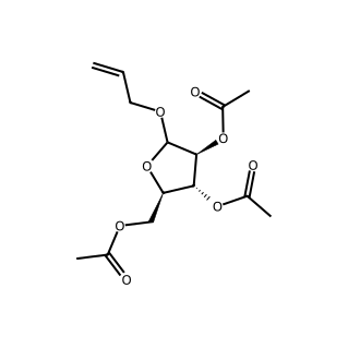 C=CCOC1O[C@H](COC(C)=O)[C@@H](OC(C)=O)[C@@H]1OC(C)=O